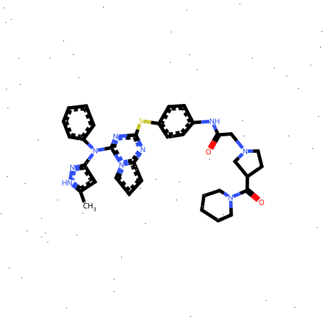 Cc1cc(N(c2ccccc2)c2nc(Sc3ccc(NC(=O)CN4CCC(C(=O)N5CCCCC5)C4)cc3)nc3cccn23)n[nH]1